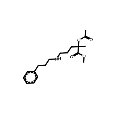 COC(=O)C(C)(CCCNCCCc1ccccc1)OC(C)=O